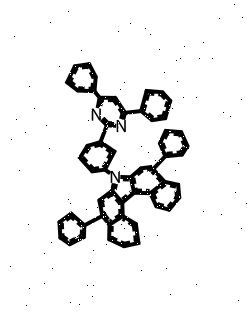 c1ccc(-c2cc(-c3ccccc3)nc(-c3cccc(-n4c5cc(-c6ccccc6)c6ccccc6c5c5c6ccccc6c(-c6ccccc6)cc54)c3)n2)cc1